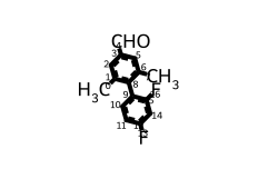 Cc1cc(C=O)cc(C)c1-c1ccc(F)cc1F